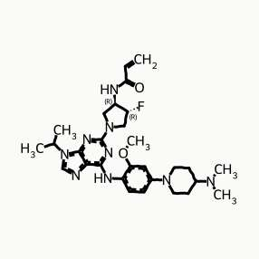 C=CC(=O)N[C@@H]1CN(c2nc(Nc3ccc(N4CCC(N(C)C)CC4)cc3OC)c3ncn(C(C)C)c3n2)C[C@H]1F